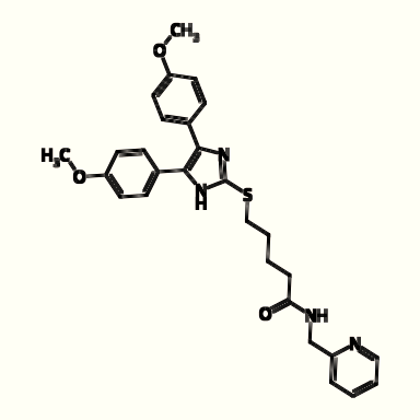 COc1ccc(-c2nc(SCCCCC(=O)NCc3ccccn3)[nH]c2-c2ccc(OC)cc2)cc1